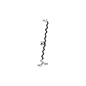 C=C.CCCCCCCCCCCCCCCCCCOP(O)O